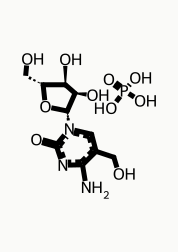 Nc1nc(=O)n([C@@H]2O[C@H](CO)[C@@H](O)[C@H]2O)cc1CO.O=P(O)(O)O